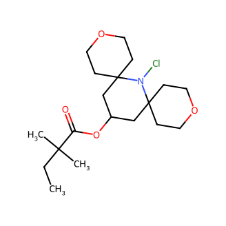 CCC(C)(C)C(=O)OC1CC2(CCOCC2)N(Cl)C2(CCOCC2)C1